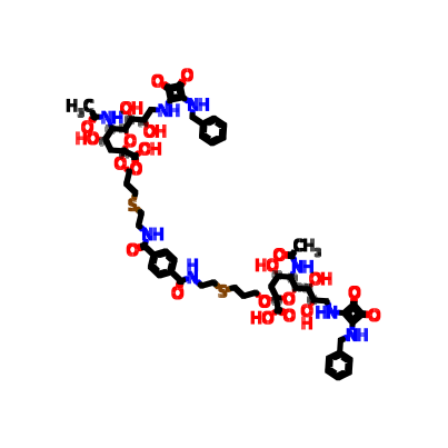 CC(=O)N[C@H]1[C@H]([C@H](O)[C@H](O)CNc2c(NCc3ccccc3)c(=O)c2=O)O[C@@](OCCCSCCNC(=O)c2ccc(C(=O)NCCSCCCO[C@]3(C(=O)O)C[C@H](O)[C@@H](NC(C)=O)[C@H]([C@H](O)[C@H](O)CNc4c(NCc5ccccc5)c(=O)c4=O)O3)cc2)(C(=O)O)C[C@@H]1O